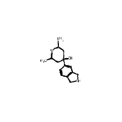 CC1CC(O)(c2ccc3c(c2)CNC3)CC(C)O1